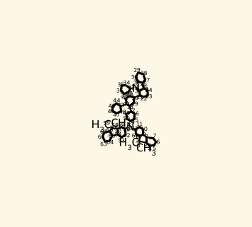 CC1(C)c2ccccc2-c2ccc(N(c3ccc(-c4cc(-c5cccc6c7ccccc7n(-c7ccccc7)c56)ccc4-c4ccccc4)cc3)c3ccc4c(c3)C(C)(C)c3ccccc3-4)cc21